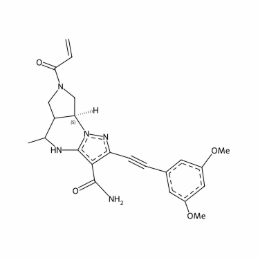 C=CC(=O)N1CC2C(C)Nc3c(C(N)=O)c(C#Cc4cc(OC)cc(OC)c4)nn3[C@@H]2C1